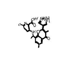 Cc1cc(C(C)Nc2ccc(Cl)nc2C(=O)O)c2oc(-c3cn[nH]c3)c(C)c(=O)c2c1